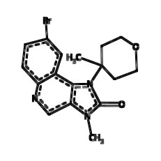 Cn1c(=O)n(C2(C)CCOCC2)c2c3cc(Br)ccc3ncc21